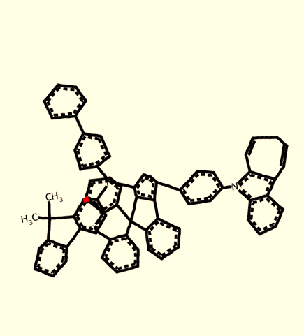 CC1(C)c2ccccc2-c2ccc(N(c3ccc(-c4ccccc4)cc3)c3ccc(-c4ccc(-n5c6c(c7ccccc75)C=CCC=C6)cc4)c4c3C3(c5ccccc5Oc5ccccc53)c3ccccc3-4)cc21